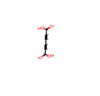 O=C(O)C#CC#CC(=O)O